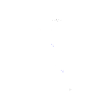 COC(=O)c1cccc(-c2cccc(C)n2)n1